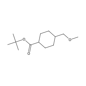 COCC1CCC(C(=O)OC(C)(C)C)CC1